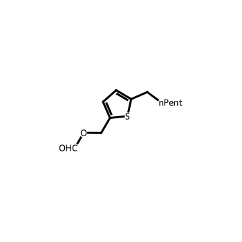 CCCCCCc1ccc(COC=O)s1